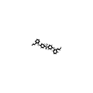 CC=Cc1ccccc1Oc1ccc(S(=O)(=O)c2ccc(Oc3ccccc3C=CC)cc2)cc1